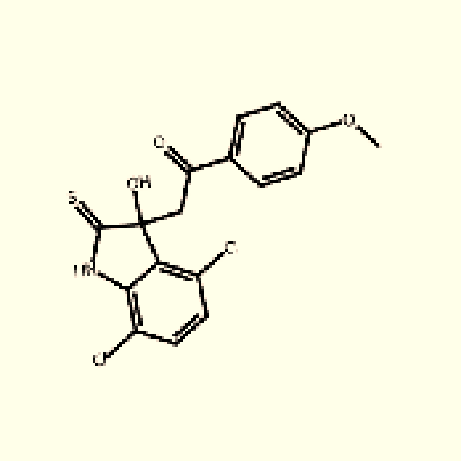 COc1ccc(C(=O)CC2(O)C(=S)Nc3c(Cl)ccc(Cl)c32)cc1